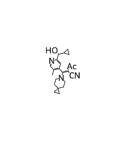 CC(=O)/C(C#N)=C(\c1cc([C@H](O)C2CC2)ncc1C)N1CCC2(CC1)CC2